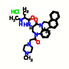 CNC(C)C(=O)N[C@H]1CN(C(=O)CN2CCN(C)CC2)c2ccccc2N(Cc2c(C)ccc3ccccc23)C1=O.Cl